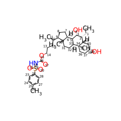 CC[C@H]1[C@@H](O)C2[C@@H]3CC[C@H]([C@H](C)CCCOC(=O)NS(=O)(=O)c4ccc(C)cc4)[C@@]3(C)CC[C@@H]2[C@@]2(C)CC[C@@H](O)C[C@@H]12